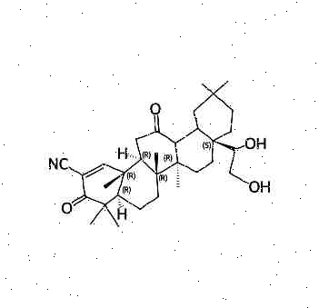 CC1(C)CC[C@]2(C(O)CO)CC[C@]3(C)C(C(=O)C[C@@H]4[C@@]5(C)C=C(C#N)C(=O)C(C)(C)[C@@H]5CC[C@]43C)C2C1